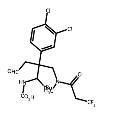 CN(CC(CC=O)(c1ccc(Cl)c(Cl)c1)C(NC(=O)O)C(C)(C)C)C(=O)CC(F)(F)F